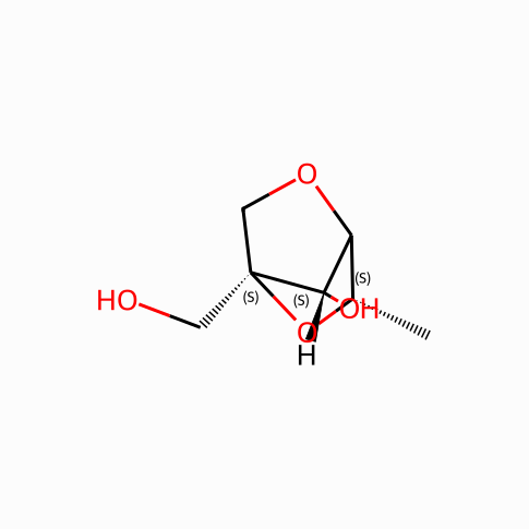 C[C@@H]1O[C@@]2(CO)COC1[C@@H]2O